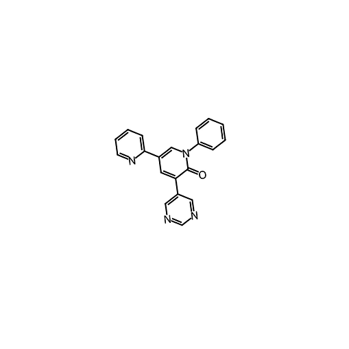 O=c1c(-c2cncnc2)cc(-c2ccccn2)cn1-c1ccccc1